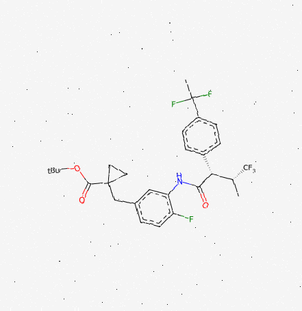 C[C@H]([C@H](C(=O)Nc1cc(CC2(C(=O)OC(C)(C)C)CC2)ccc1F)c1ccc(C(C)(F)F)cc1)C(F)(F)F